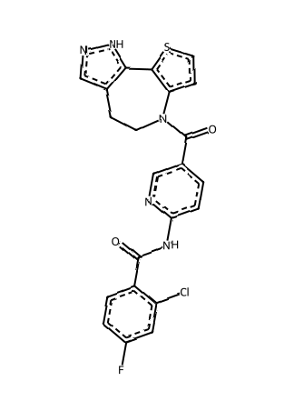 O=C(Nc1ccc(C(=O)N2CCc3cn[nH]c3-c3sccc32)cn1)c1ccc(F)cc1Cl